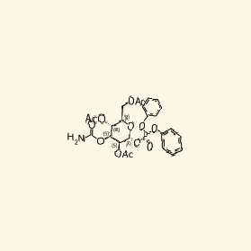 CC(=O)OC[C@H]1O[C@H](OP(=O)(Oc2ccccc2)Oc2ccccc2)[C@@H](OC(C)=O)[C@@H](OC(N)=O)[C@@H]1OC(C)=O